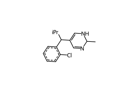 CC1N=CC(C(c2ccccc2Cl)C(C)C)=CN1